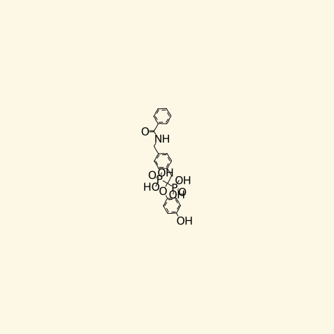 O=C(NCc1ccc(CC(Oc2ccc(O)cc2)(P(=O)(O)O)P(=O)(O)O)cc1)c1ccccc1